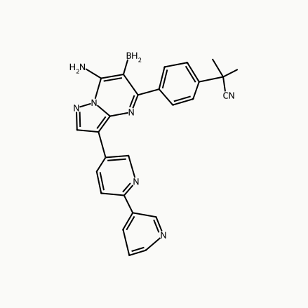 Bc1c(-c2ccc(C(C)(C)C#N)cc2)nc2c(-c3ccc(-c4cccnc4)nc3)cnn2c1N